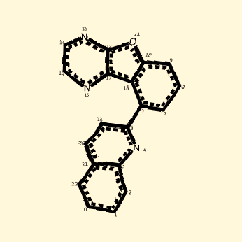 c1ccc2nc(-c3cccc4oc5nccnc5c34)ccc2c1